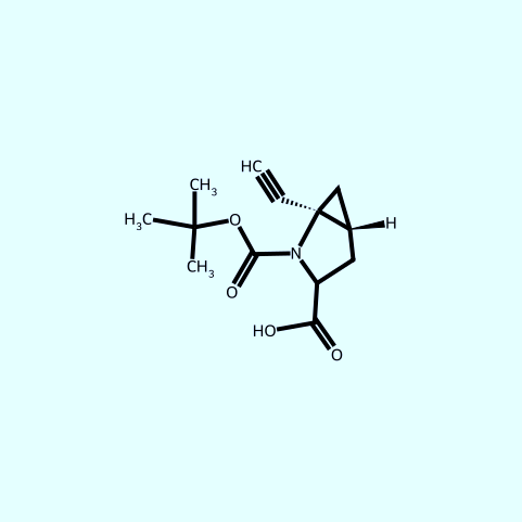 C#C[C@]12C[C@@H]1CC(C(=O)O)N2C(=O)OC(C)(C)C